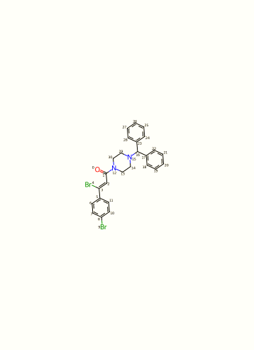 O=C(C=C(Br)c1ccc(Br)cc1)N1CCN(C(c2ccccc2)c2ccccc2)CC1